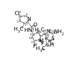 Cc1cc(Cl)cnc1C(=O)Nc1cc(F)c(F)c([C@@]2(C)N=C(N)S[C@H]3[C@@H](C)[C@H]32)c1